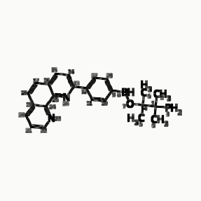 CC(C)(P)C(C)(C)OBc1ccc(-c2ccc3ccc4cccnc4c3n2)cc1